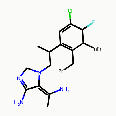 CCCC1C(CC(C)C)=C(C(C)CN2CN=C(N)/C2=C(\C)N)C=C(Cl)C1F